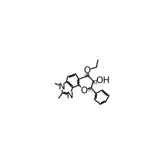 CCO[C@@H]1c2ccc3c(nc(C)n3C)c2O[C@H](c2ccccc2)[C@H]1O